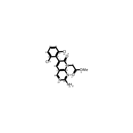 COC(=O)Cn1c(=O)c(-c2c(Cl)cccc2Cl)cc2cnc(N)nc21